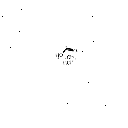 Cl.O.O=CO